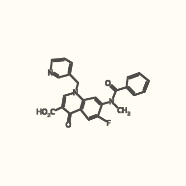 CN(C(=O)c1ccccc1)c1cc2c(cc1F)c(=O)c(C(=O)O)cn2Cc1cccnc1